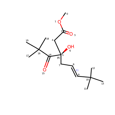 COC(=O)C[C@](O)(C/C=C/C(C)(C)C)C(=O)C(C)(C)C